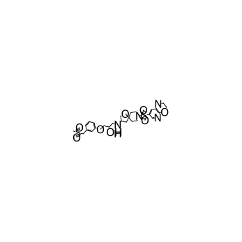 CN1CCOc2ncc(S(=O)(=O)N3CCC4(CC3)C[C@@H](NC[C@H](O)COc3cccc(CS(C)(=O)=O)c3)CO4)cc21